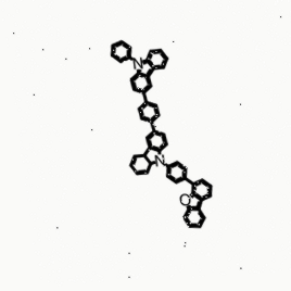 C1=CC2c3cc(-c4ccc(-c5ccc6c(c5)c5ccccc5n6-c5ccccc5)cc4)ccc3N(c3ccc(-c4cccc5c4oc4ccccc45)cc3)C2C=C1